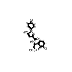 O=C(O)CC(NC(=O)c1cc(O)n(-c2ccc(Cl)cc2)n1)c1cccc(Cl)c1F